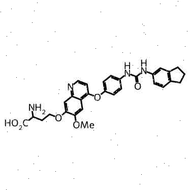 COc1cc2c(Oc3ccc(NC(=O)Nc4ccc5c(c4)CCC5)cc3)ccnc2cc1OCCC(N)C(=O)O